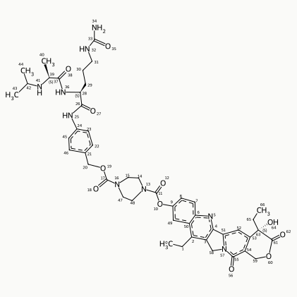 CCc1c2c(nc3ccc(OC(=O)N4CCN(C(=O)OCc5ccc(NC(=O)[C@H](CCCNC(N)=O)NC(=O)[C@H](C)NC(C)C)cc5)CC4)cc13)-c1cc3c(c(=O)n1C2)COC(=O)[C@]3(O)CC